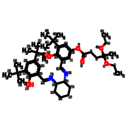 CCO[Si](C)(CCC(=O)Oc1cc(/C=N/[C@@H]2CCCC[C@H]2/N=C/c2cc(C(C)(C)C)cc(C(C)(C)C)c2O)c(O)c(C(C)(C)C)c1)OCC